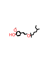 CCC(C)CCCC(C)(C)OC/C=C/c1ccc(O)c(OC)c1